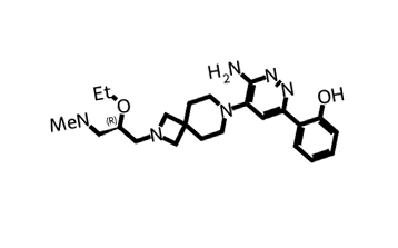 CCO[C@H](CNC)CN1CC2(CCN(c3cc(-c4ccccc4O)nnc3N)CC2)C1